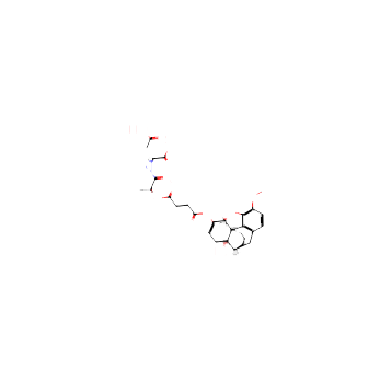 COc1ccc2c3c1O[C@H]1C(OC(=O)CCC(=O)O[C@@H](C)C(=O)N[C@H](CC(=O)O)C(=O)O)=CC[C@@]4(O)[C@H](CCC[C@]314)C2